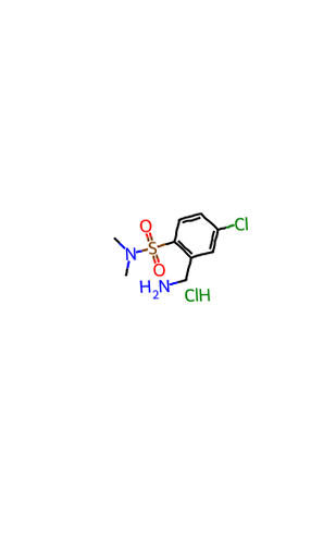 CN(C)S(=O)(=O)c1ccc(Cl)cc1CN.Cl